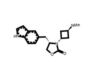 CN[C@H]1C[C@H](N2C(=O)OC[C@@H]2Cc2ccc3[nH]ccc3c2)C1